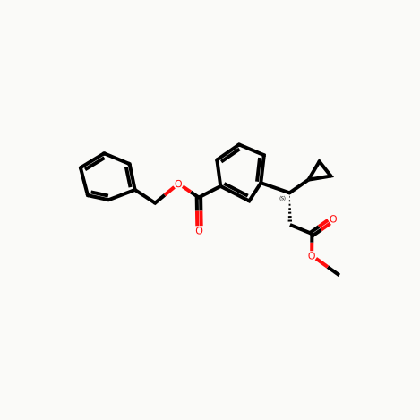 COC(=O)C[C@H](c1cccc(C(=O)OCc2ccccc2)c1)C1CC1